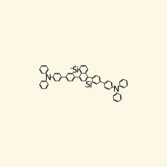 C[Si]1(C)c2cc(-c3ccc(N(c4ccccc4)c4ccccc4)cc3)ccc2-c2c1cc1c3c(cccc23)[Si](C)(C)c2cc(-c3ccc(N(c4ccccc4)c4ccccc4)cc3)ccc2-1